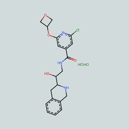 Cl.Cl.O=C(NCC(O)C1Cc2ccccc2CN1)c1cc(Cl)nc(OC2COC2)c1